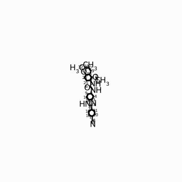 COc1c(NC(=O)Nc2ccc3[nH]c(-c4ccc(C#N)cc4)nc3c2)ccc2c1C=CC(C)(C)O2